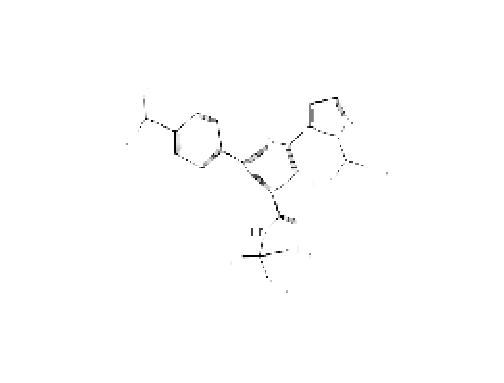 CC(C)c1ccc(-c2cc(C(=O)NC(C)(C)C)cc(-c3ccnn3C(C)C)n2)cc1